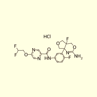 Cl.NC1=NC2(c3cc(NC(=O)c4cnc(OCC(F)F)cn4)ccc3F)COCC2(F)CO1